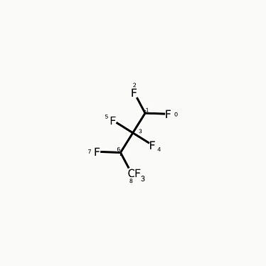 F[C](F)C(F)(F)[C](F)C(F)(F)F